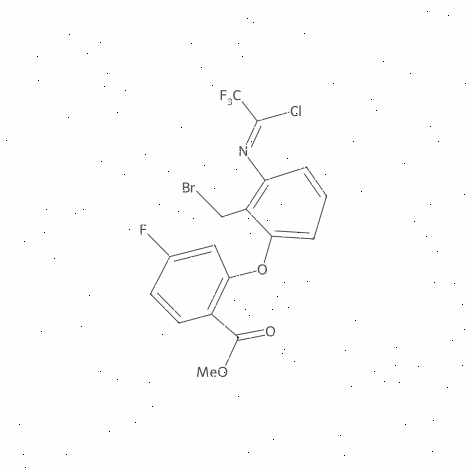 COC(=O)c1ccc(F)cc1Oc1cccc(N=C(Cl)C(F)(F)F)c1CBr